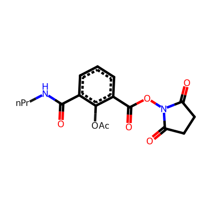 CCCNC(=O)c1cccc(C(=O)ON2C(=O)CCC2=O)c1OC(C)=O